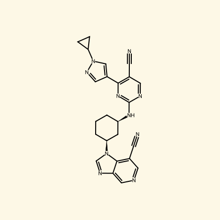 N#Cc1cnc(N[C@@H]2CCC[C@H](n3cnc4cncc(C#N)c43)C2)nc1-c1cnn(C2CC2)c1